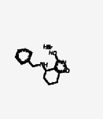 Br.Oc1noc2c1C(NCc1ccccc1)CCC2